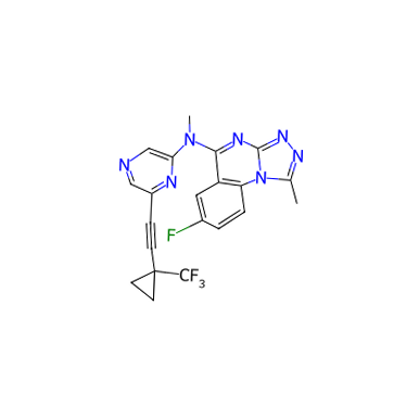 Cc1nnc2nc(N(C)c3cncc(C#CC4(C(F)(F)F)CC4)n3)c3cc(F)ccc3n12